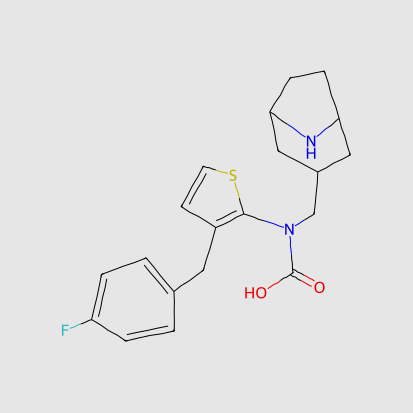 O=C(O)N(CC1CC2CCC(C1)N2)c1sccc1Cc1ccc(F)cc1